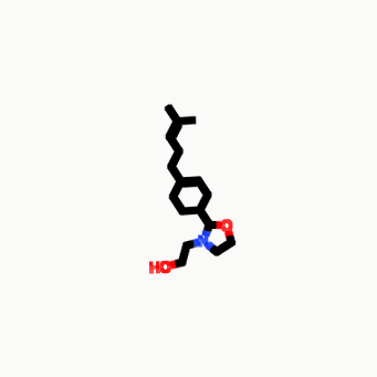 CC(C)=CCCC1=CCC(C2OCCN2CCO)CC1